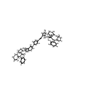 O=C([C@@H](c1ccccc1)N1CCCCC1)N1CCC[C@H]1c1nc2ccc(-c3ccc(C#CC4=CNC([C@@H]5CCCN5C(=O)[C@@H](c5ccccc5)N5CCCCC5)N4)cc3)cc2[nH]1